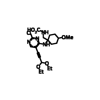 CCOC(C#Cc1cnc(Cl)nc1NC1(CNC(=O)O)CCC(OC)CC1)OCC